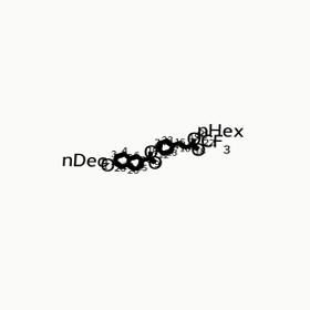 CCCCCCCCCCOc1ccc2cc(C(=O)Oc3ccc(C=CC(=O)OC(CCCCCC)C(F)(F)F)cc3)ccc2c1